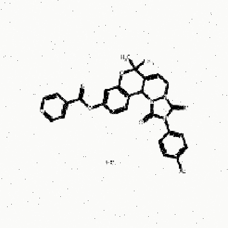 CC(=O)c1ccc(-n2c(=O)n3n(c2=O)C2C(=CC3)C(C)(C)Oc3cc(OC(=O)c4ccncc4)ccc32)cc1.Cl